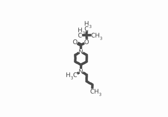 CCCCN(C)C1CCN(C(=O)OC(C)(C)C)CC1